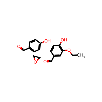 C1CO1.CCOc1cc(C=O)ccc1O.O=Cc1ccc(O)cc1